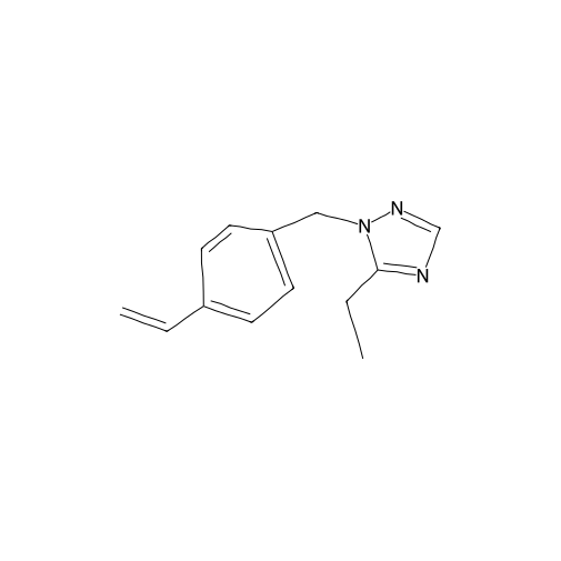 C=Cc1ccc(Cn2ncnc2CC)cc1